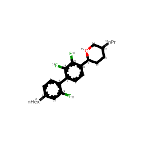 CCCCCCc1ccc(-c2ccc(C3CCC(CCC)CO3)c(F)c2F)c(F)c1